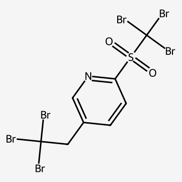 O=S(=O)(c1ccc(CC(Br)(Br)Br)cn1)C(Br)(Br)Br